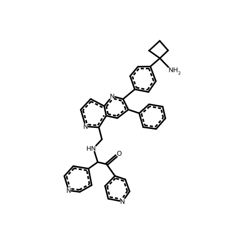 NC1(c2ccc(-c3nc4ccnc(CNC(C(=O)c5ccncc5)c5ccncc5)c4cc3-c3ccccc3)cc2)CCC1